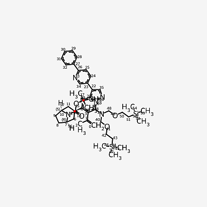 C=C(C)c1c([C@H]2C[C@H]3CC[C@@H](C2)N3C(=O)OC(C)(C)C)nc2c(-c3ccc(-c4ccccc4)nc3)cnn2c1N(COCC[Si](C)(C)C)COCC[Si](C)(C)C